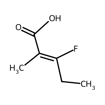 CC/C(F)=C(\C)C(=O)O